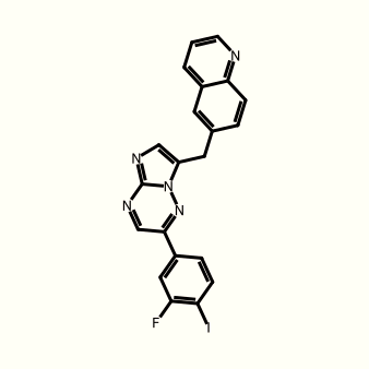 Fc1cc(-c2cnc3ncc(Cc4ccc5ncccc5c4)n3n2)ccc1I